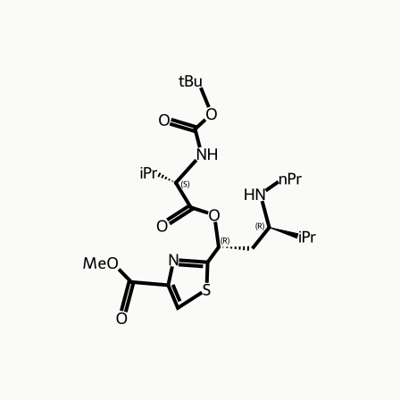 CCCN[C@H](C[C@@H](OC(=O)[C@@H](NC(=O)OC(C)(C)C)C(C)C)c1nc(C(=O)OC)cs1)C(C)C